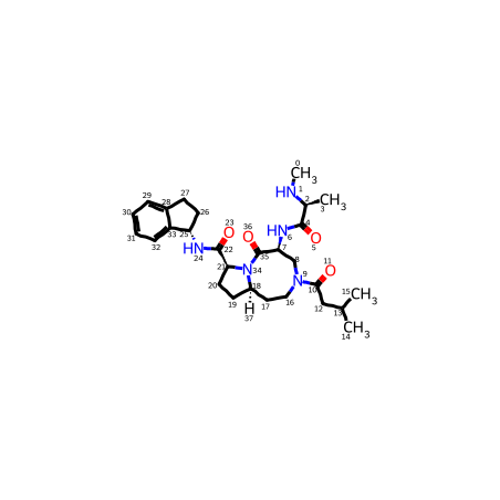 CN[C@@H](C)C(=O)N[C@H]1CN(C(=O)CC(C)C)CC[C@H]2CC[C@@H](C(=O)N[C@H]3CCc4ccccc43)N2C1=O